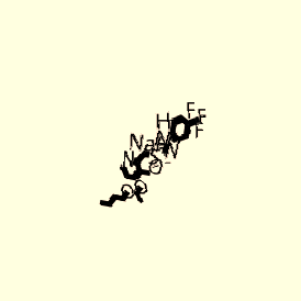 CCCCOC(C)Oc1ccnc(C[S+]([O-])c2nc3cc(C(F)(F)F)ccc3[nH]2)c1C.[NaH]